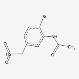 CC(=O)Nc1cc(C[SH](=O)=O)ccc1Br